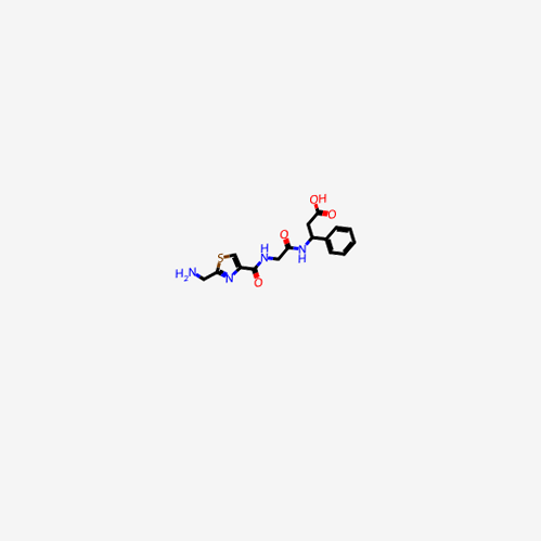 NCc1nc(C(=O)NCC(=O)NC(CC(=O)O)c2ccccc2)cs1